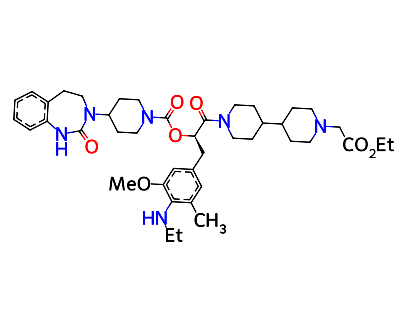 CCNc1c(C)cc(C[C@@H](OC(=O)N2CCC(N3CCc4ccccc4NC3=O)CC2)C(=O)N2CCC(C3CCN(CC(=O)OCC)CC3)CC2)cc1OC